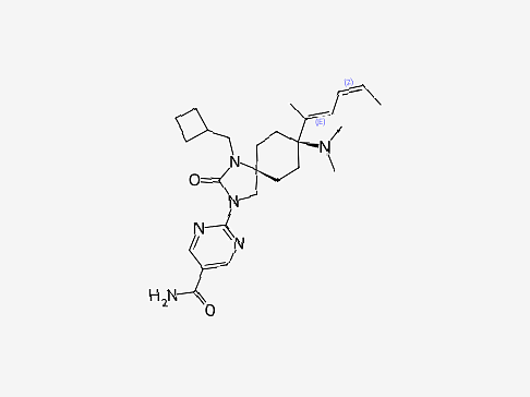 C/C=C\C=C(/C)[C@]1(N(C)C)CC[C@@]2(CC1)CN(c1ncc(C(N)=O)cn1)C(=O)N2CC1CCC1